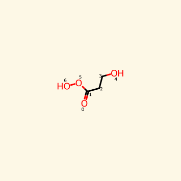 O=C(CCO)OO